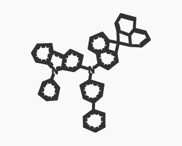 C1=CC2=CC=CC3C2C(=C1)C31c2cccc3c(N(c4ccc(-c5ccccc5)cc4)c4ccc5c6ccccc6n(-c6ccccc6)c5c4)ccc1c23